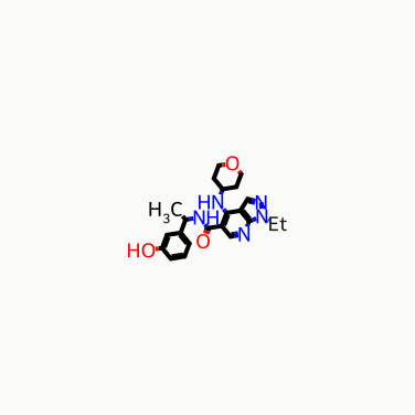 CCn1ncc2c(NC3CCOCC3)c(C(=O)NC(C)c3cccc(O)c3)cnc21